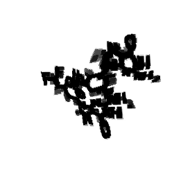 Nc1nc2c(ncn2CCC(C=C(F)F)O[PH](=O)OC(C=C(F)F)CCn2cnc3c(=O)[nH]c(N)nc32)c(=O)[nH]1